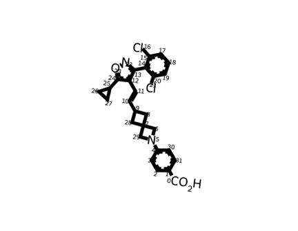 O=C(O)c1ccc(N2CC3(CC(C=Cc4c(-c5c(Cl)cccc5Cl)noc4C4CC4)C3)C2)cc1